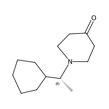 C[C@H](C1CCCCC1)N1CCC(=O)CC1